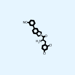 N#Cc1cccc(-c2ccc3c(c2)CN(C(=O)C(N)Cc2ccc(Cl)cc2Cl)C3)c1